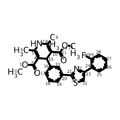 COC(=O)C1=C(C)NC(C)=C(C(=O)OC)C1c1cccc(-c2nc(-c3ccccc3F)cs2)c1